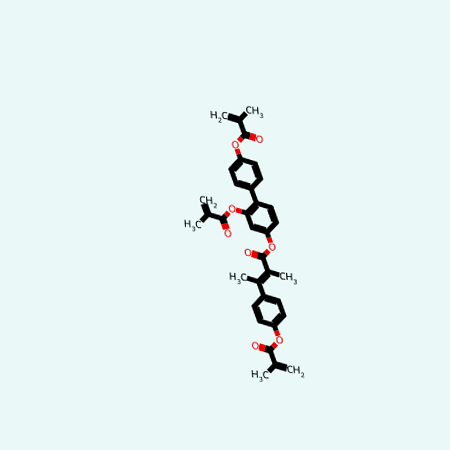 C=C(C)C(=O)Oc1ccc(/C(C)=C(\C)C(=O)Oc2ccc(-c3ccc(OC(=O)C(=C)C)cc3)c(OC(=O)C(=C)C)c2)cc1